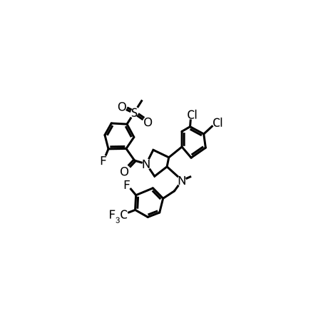 CN(Cc1ccc(C(F)(F)F)c(F)c1)C1CN(C(=O)c2cc(S(C)(=O)=O)ccc2F)CC1c1ccc(Cl)c(Cl)c1